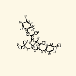 COC(=O)CCCN(Cc1ccc(Cl)cc1)C(=O)C1(C)CCN1C(=O)Oc1ccc(C)cc1C